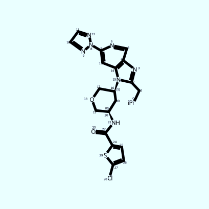 CC(C)Cc1nc2cnc(-n3nccn3)cc2n1[C@@H]1COC[C@H](NC(=O)c2ccc(Cl)s2)C1